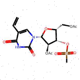 C=Cc1cn([C@@H]2O[C@H](COC(C)=O)[C@H](OS(C)(=O)=O)[C@H]2OC(C)=O)c(=O)[nH]c1=O